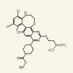 CN(C)CCOc1nc(N2CCN(C(=O)OC(C)(C)C)CC2)c2cc(Cl)c3c(c2n1)OCCNc1c(Cl)cc(Cl)c(F)c1-3